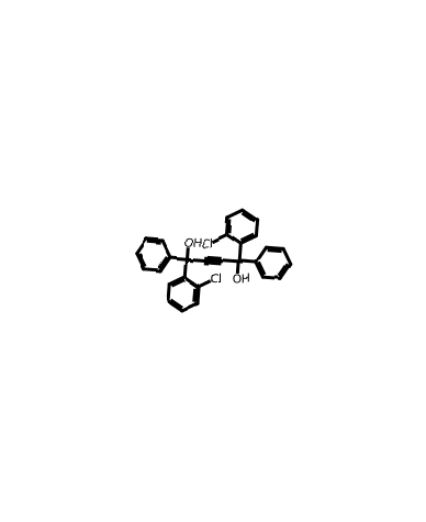 OC(C#CC(O)(c1ccccc1)c1ccccc1Cl)(c1ccccc1)c1ccccc1Cl